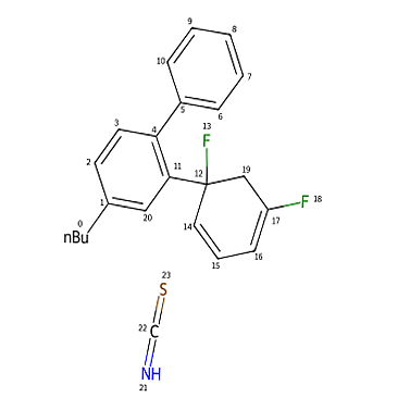 CCCCc1ccc(-c2ccccc2)c(C2(F)C=CC=C(F)C2)c1.N=C=S